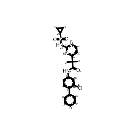 CC(C)(C(=O)Nc1ccc(-c2ccccc2)c(Cl)c1)c1ccnc(NS(=O)(=O)C2CC2)n1